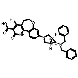 O=C(O)c1c(O)c2c([nH]c1=O)-c1ccc(N3C[C@@H]4[C@H](C3)[C@H]4N(Cc3ccccc3)Cc3ccccc3)cc1OCC2